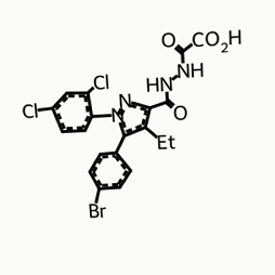 CCc1c(C(=O)NNC(=O)C(=O)O)nn(-c2ccc(Cl)cc2Cl)c1-c1ccc(Br)cc1